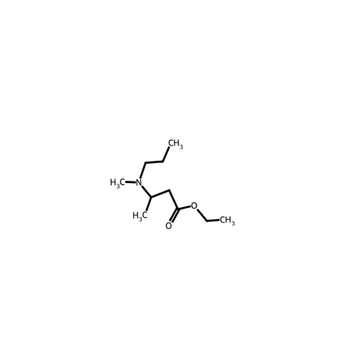 CCCN(C)C(C)CC(=O)OCC